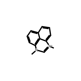 CN1C=[N+](C)c2cccc3cccc1c23